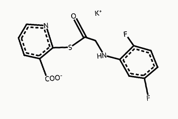 O=C(CNc1cc(F)ccc1F)Sc1ncccc1C(=O)[O-].[K+]